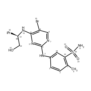 Cc1ccc(Nc2ncc(Br)c(N[C@@H](CO)C(C)C)n2)cc1S(N)(=O)=O